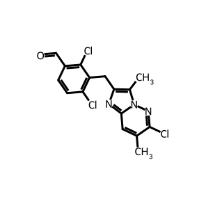 Cc1cc2nc(Cc3c(Cl)ccc(C=O)c3Cl)c(C)n2nc1Cl